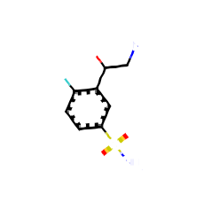 NCC(O)c1cc(S(N)(=O)=O)ccc1F